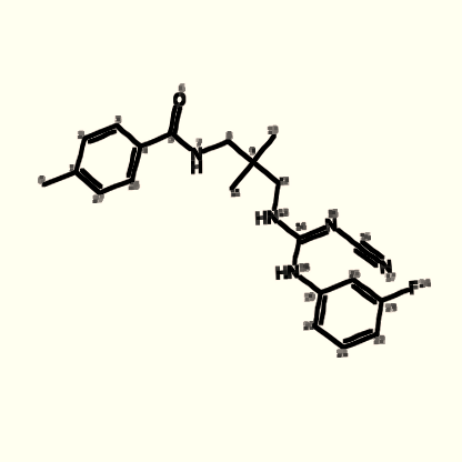 Cc1ccc(C(=O)NCC(C)(C)CNC(=NC#N)Nc2cccc(F)c2)cc1